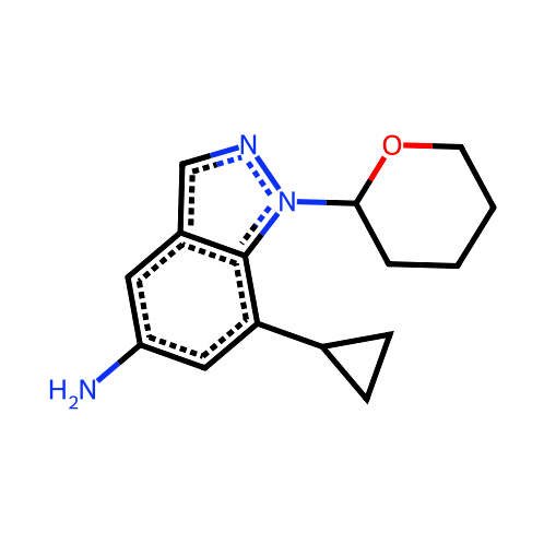 Nc1cc(C2CC2)c2c(cnn2C2CCCCO2)c1